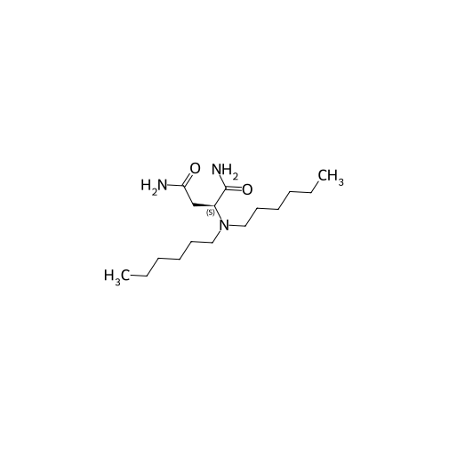 CCCCCCN(CCCCCC)[C@@H](CC(N)=O)C(N)=O